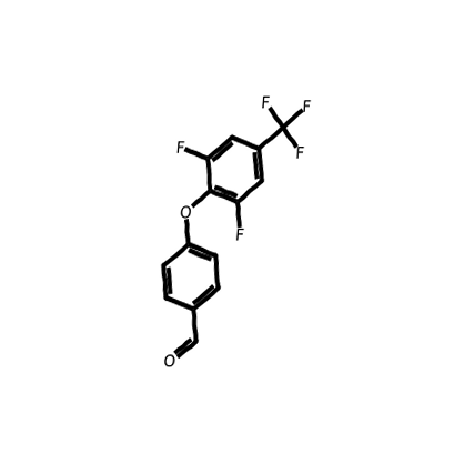 O=Cc1ccc(Oc2c(F)cc(C(F)(F)F)cc2F)cc1